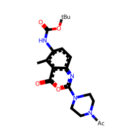 CC(=O)N1CCN(c2nc3ccc(NC(=O)OC(C)(C)C)c(C)c3c(=O)o2)CC1